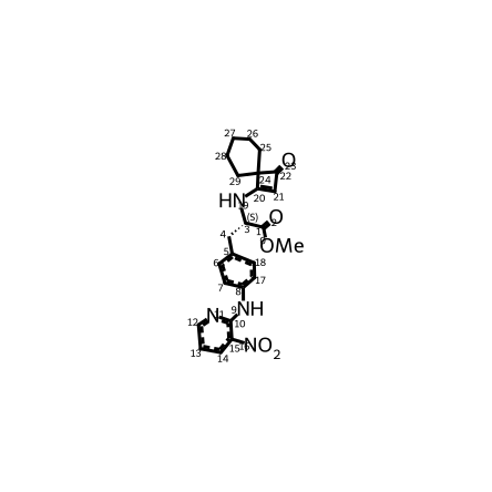 COC(=O)[C@H](Cc1ccc(Nc2ncccc2[N+](=O)[O-])cc1)NC1=CC(=O)C12CCCCC2